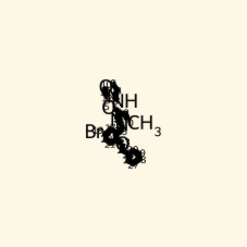 Cc1cc(C(=O)NN2CCOCC2)nn1Cc1cc(Br)ccc1OCc1ccccc1